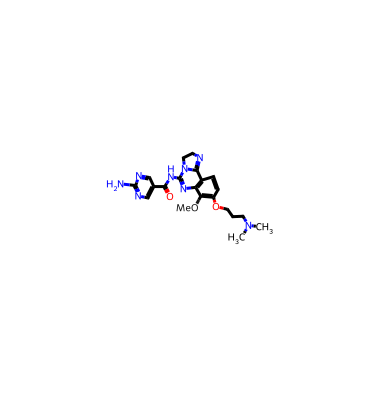 COc1c(OCCCN(C)C)ccc2c1N=C(NC(=O)c1cnc(N)nc1)N1CCN=C21